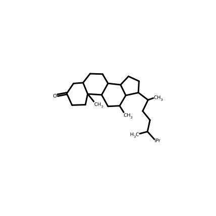 CC(C)C(C)CCC(C)C1CCC2C3CCC4CC(=O)CCC4(C)C3CC(C)C12